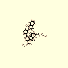 Cc1c(-c2nnc(C(N)=O)c3[nH]c4cc(OCCO)ccc4c23)cccc1-n1cnc2ccccc2c1=O